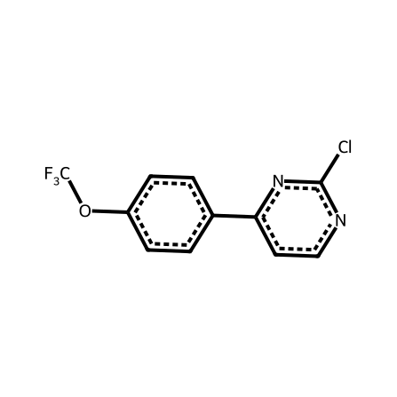 FC(F)(F)Oc1ccc(-c2ccnc(Cl)n2)cc1